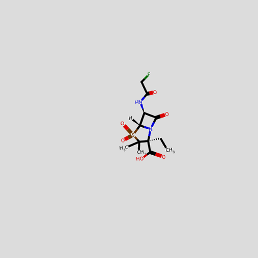 CC[C@@]1(C(=O)O)N2C(=O)[C@H](NC(=O)CF)[C@H]2S(=O)(=O)C1(C)C